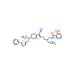 CCC(CCc1sc2c(c1C#N)CCC(N(C)Cc1cnc(-c3ccccc3)s1)C2)CNC(=O)c1ccccc1O